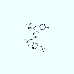 CC(=O)N[C@@H](Cc1ccc(F)cc1)[C@H](O)CN[C@H]1CC(C)(C)Oc2ncc(CC(C)(C)C)cc21